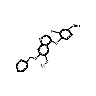 COc1cc2c(Oc3ccc(N=O)cc3F)ccnc2cc1OCc1ccccc1